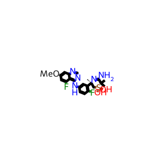 COc1cc(F)c2c(Nc3ccc(F)c([C@]4(C)CS(O)(O)C(C)(C)C(N)=N4)c3)ncnc2c1